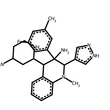 Cc1cc(F)cc(C2(N)C(C3CC(N)CCN3)c3ccccc3N(C)C2c2cn[nH]c2)c1